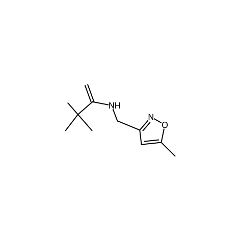 C=C(NCc1cc(C)on1)C(C)(C)C